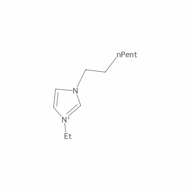 CCCCCCCn1cc[n+](CC)c1